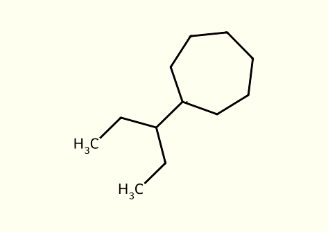 CCC(CC)[C]1CCCCCC1